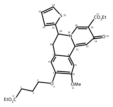 CCOC(=O)CCCOc1cc2c(cc1OC)-c1cc(=O)c(C(=O)OCC)cn1C(c1cccs1)C2